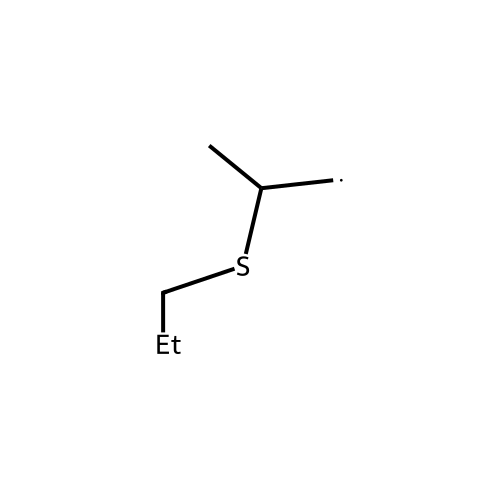 [CH2]C(C)SCCC